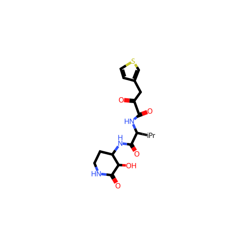 CC(C)C(NC(=O)C(=O)Cc1ccsc1)C(=O)NC1CCNC(=O)C1O